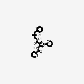 CC(C#N)(CNC(=O)c1nn(C2CCCCO2)cc1NC(=O)c1ccccn1)Cc1ccccc1